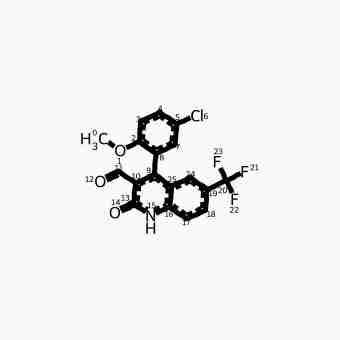 COc1ccc(Cl)cc1-c1c(C=O)c(=O)[nH]c2ccc(C(F)(F)F)cc12